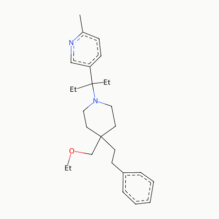 CCOCC1(CCc2ccccc2)CCN(C(CC)(CC)c2ccc(C)nc2)CC1